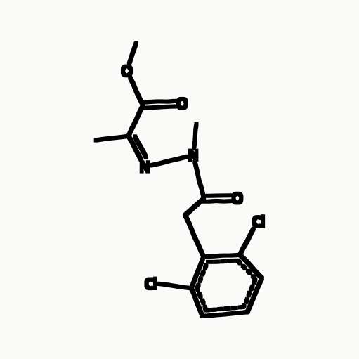 COC(=O)C(C)=NN(C)C(=O)Cc1c(Cl)cccc1Cl